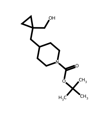 CC(C)(C)OC(=O)N1CCC(CC2(CO)CC2)CC1